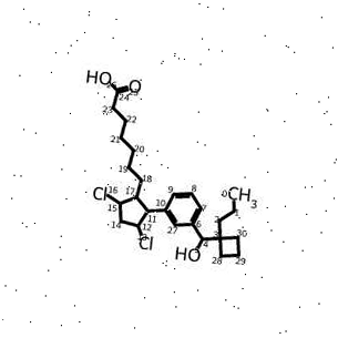 CCCC1(C(O)c2cccc(C3C(Cl)CC(Cl)C3CCCCCCC(=O)O)c2)CCC1